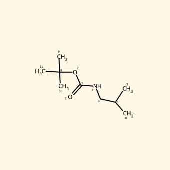 [CH2]C(C)CNC(=O)OC(C)(C)C